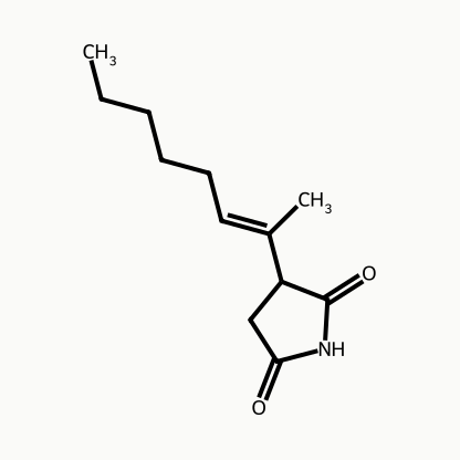 CCCCCC=C(C)C1CC(=O)NC1=O